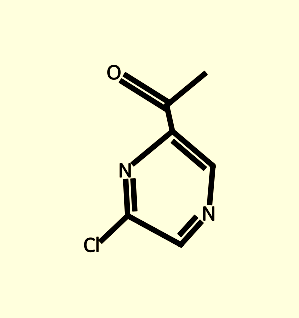 CC(=O)c1cncc(Cl)n1